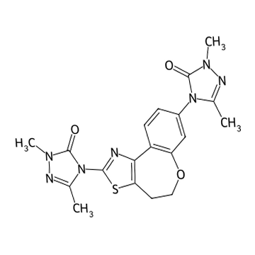 Cc1nn(C)c(=O)n1-c1ccc2c(c1)OCCc1sc(-n3c(C)nn(C)c3=O)nc1-2